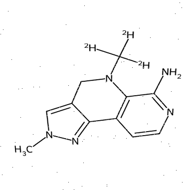 [2H]C([2H])([2H])N1Cc2cn(C)nc2-c2ccnc(N)c21